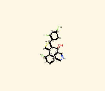 OC(c1cccnc1)c1c(-c2ccccc2F)csc1-c1ccc(F)cc1F